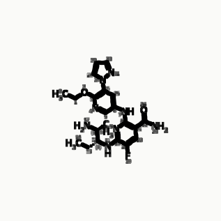 CCOc1ncc(Nc2nc(N[C@H](CC)[C@H](C)N)c(F)cc2C(N)=O)cc1-n1cccn1